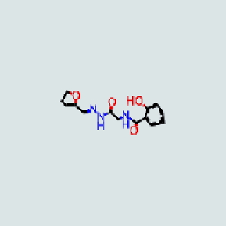 O=C(CNC(=O)c1ccccc1O)N/N=C/C1=CCCO1